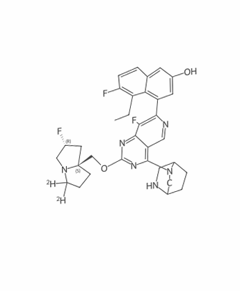 [2H]C1([2H])CC[C@@]2(COc3nc(N4CC5CCC4CN5)c4cnc(-c5cc(O)cc6ccc(F)c(CC)c56)c(F)c4n3)C[C@@H](F)CN12